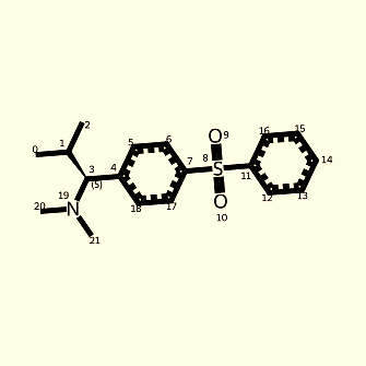 CC(C)[C@@H](c1ccc(S(=O)(=O)c2ccccc2)cc1)N(C)C